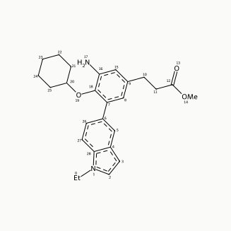 CCn1ccc2cc(-c3cc(CCC(=O)OC)cc(N)c3OC3CCCCC3)ccc21